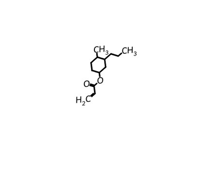 C=CC(=O)OC1CCC(C)C(CCC)C1